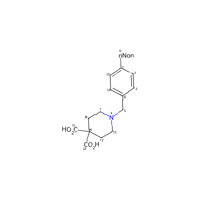 CCCCCCCCCc1ccc(CN2CCC(C(=O)O)(C(=O)O)CC2)cc1